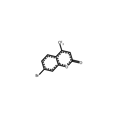 O=c1cc(C(F)(F)F)c2ccc(Br)cc2o1